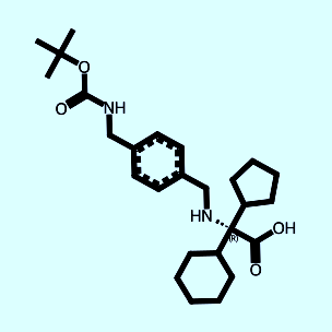 CC(C)(C)OC(=O)NCc1ccc(CN[C@](C(=O)O)(C2CCCCC2)C2CCCC2)cc1